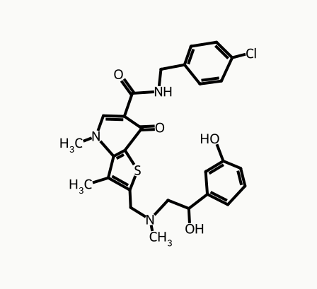 Cc1c(CN(C)CC(O)c2cccc(O)c2)sc2c(=O)c(C(=O)NCc3ccc(Cl)cc3)cn(C)c12